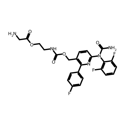 NCC(=O)OCCNC(=O)OCc1ccc(N(C(N)=O)c2c(F)cccc2F)nc1-c1ccc(F)cc1